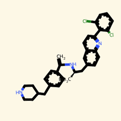 C=C(N[C@@H](Cc1ccc2nc(-c3c(Cl)cccc3Cl)ccc2c1)C(=O)O)c1ccc(CC2CCNCC2)cc1